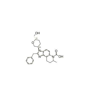 CC1CCc2c(ccc3c2nc(Cc2ccccc2)n3[C@@H]2CC[C@@H](CO)OC2)N1C(=O)O